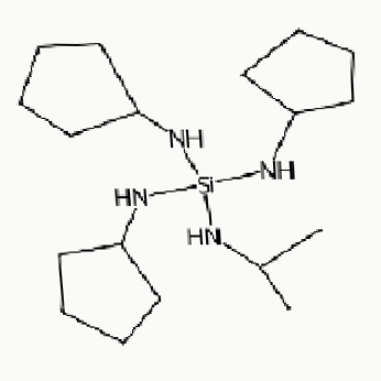 CC(C)N[Si](NC1CCCC1)(NC1CCCC1)NC1CCCC1